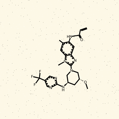 C=CC(=O)Nc1cc2nc(N3C[C@H](Nc4ncc(C(F)(F)F)cn4)C[C@@H](OC)C3)n(C)c2cc1C